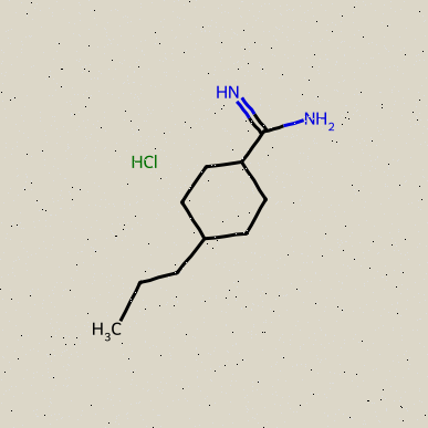 CCCC1CCC(C(=N)N)CC1.Cl